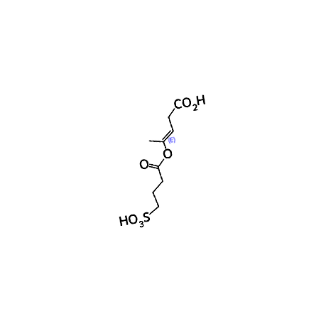 C/C(=C\CC(=O)O)OC(=O)CCCS(=O)(=O)O